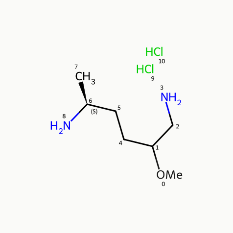 COC(CN)CC[C@H](C)N.Cl.Cl